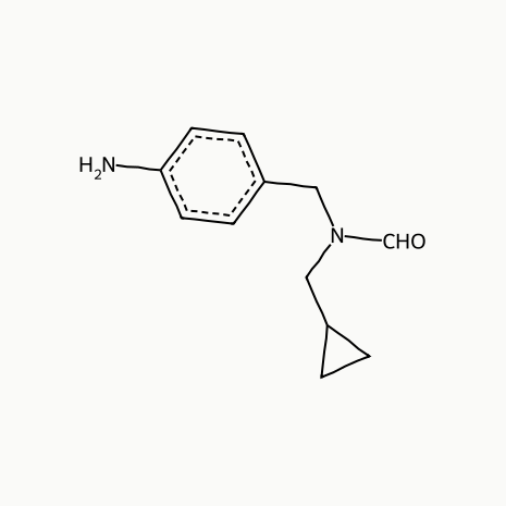 Nc1ccc(CN(C=O)CC2CC2)cc1